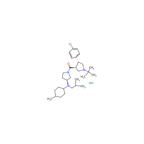 CC(C)CN(C1CCC(C)CC1)[C@H]1CCN(C(=O)[C@@H]2CN(C(C)(C)C)C[C@H]2c2ccc(Cl)cc2)C1.Cl